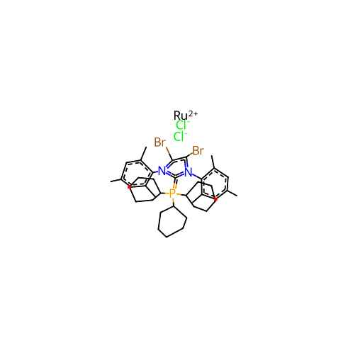 Cc1cc(C)c(-n2c(Br)c(Br)n(-c3c(C)cc(C)cc3C)c2=P(C2CCCCC2)(C2CCCCC2)C2CCCCC2)c(C)c1.[Cl-].[Cl-].[Ru+2]